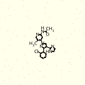 CC(=O)Nc1cc(-n2cc(-c3ncc[nH]3)c(-c3ccccc3Cl)n2)c(C)cn1